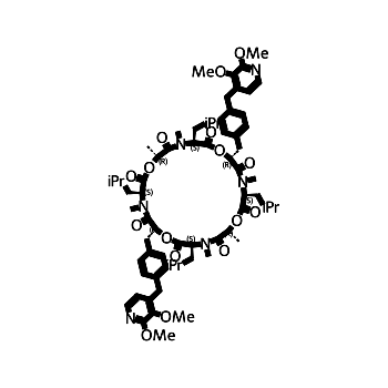 COc1nccc(Cc2ccc(C[C@H]3OC(=O)[C@H](CC(C)C)N(C)C(=O)[C@@H](C)OC(=O)[C@H](CC(C)C)N(C)C(=O)[C@@H](Cc4ccc(Cc5ccnc(OC)c5OC)cc4)OC(=O)[C@H](CC(C)C)N(C)C(=O)[C@@H](C)OC(=O)[C@H](CC(C)C)N(C)C3=O)cc2)c1OC